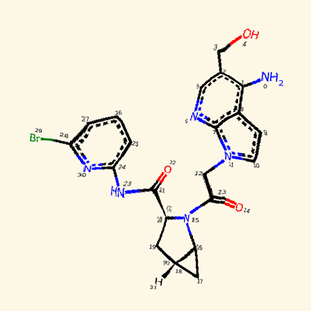 Nc1c(CO)cnc2c1ccn2CC(=O)N1C2C[C@@H]2C[C@H]1C(=O)Nc1cccc(Br)n1